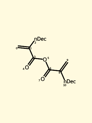 C=C(CCCCCCCCCC)C(=O)OC(=O)C(=C)CCCCCCCCCC